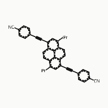 CC(C)c1cc(C#Cc2ccc(C#N)cc2)c2ccc3c(C(C)C)cc(C#Cc4ccc(C#N)cc4)c4ccc1c2c43